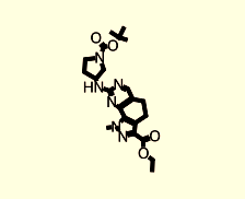 CCOC(=O)c1nn(C)c2c1CCc1cnc(NC3CCN(C(=O)OC(C)(C)C)C3)nc1-2